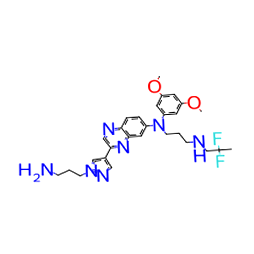 COc1cc(OC)cc(N(CCCNCC(C)(F)F)c2ccc3ncc(-c4cnn(CCCN)c4)nc3c2)c1